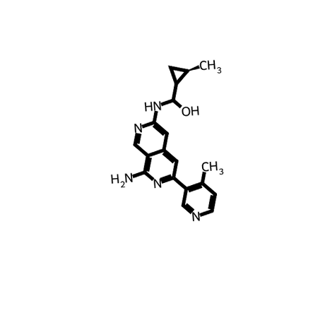 Cc1ccncc1-c1cc2cc(NC(O)C3C[C@H]3C)ncc2c(N)n1